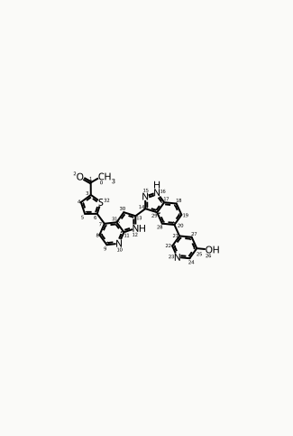 CC(=O)c1ccc(-c2ccnc3[nH]c(-c4n[nH]c5ccc(-c6cncc(O)c6)cc45)cc23)s1